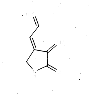 C=C/C=C1/CNC(=O)C1=C